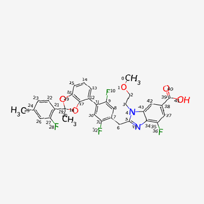 COCCn1c(Cc2cc(F)c(-c3cccc4c3OC(C)(c3ccc(C)cc3F)O4)cc2F)nc2c(F)cc(C(=O)O)cc21